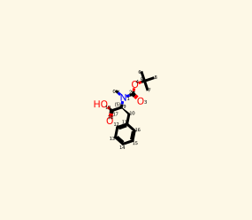 [CH2]N(C(=O)OC(C)(C)C)[C@@H](Cc1ccccc1)C(=O)O